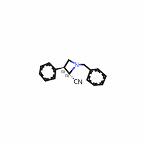 N#C[C@@H]1[C@@H](c2ccccc2)CN1Cc1ccccc1